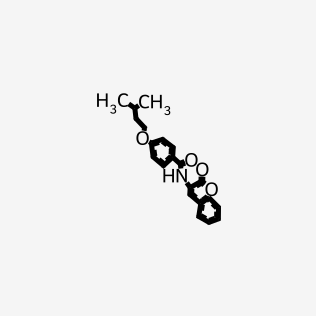 CC(C)CCOc1ccc(C(=O)Nc2cc3ccccc3oc2=O)cc1